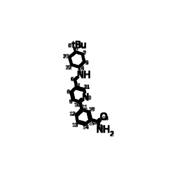 CC(C)(C)[C@H]1CC[C@H](NCc2ccc(-c3cccc(C(N)=O)c3)nc2)CC1